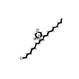 C1CNCCN1.CCCCCCCCCCCCCCCCCCCl.N